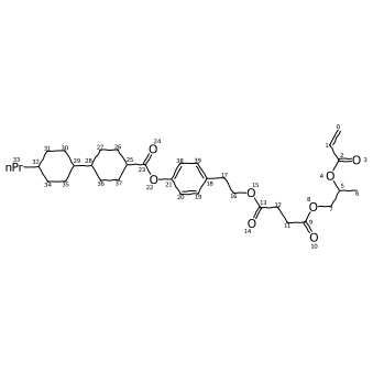 C=CC(=O)OC(C)COC(=O)CCC(=O)OCCc1ccc(OC(=O)C2CCC(C3CCC(CCC)CC3)CC2)cc1